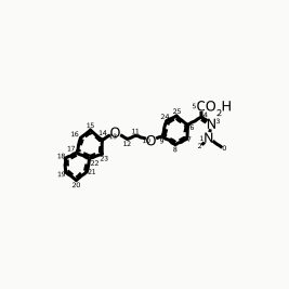 CN(C)/N=C(/C(=O)O)c1ccc(OCCOc2ccc3ccccc3c2)cc1